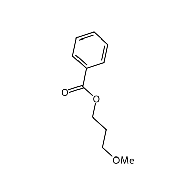 COCCCOC(=O)c1ccccc1